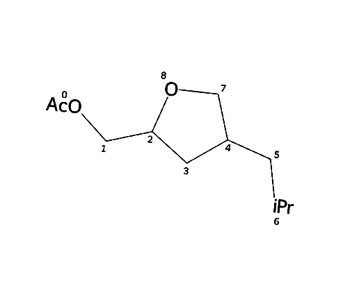 CC(=O)OCC1CC(CC(C)C)CO1